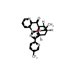 C[C@@H]1[C@@H]2CC[C@@H]([C@H](Oc3ccc(C(F)(F)F)cn3)C2)N1C(=O)c1ncccc1-n1nccn1